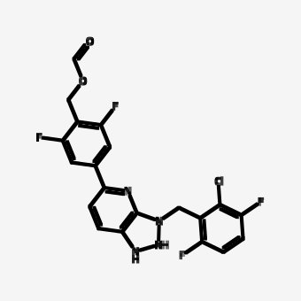 O=COCc1c(F)cc(-c2ccc3c(n2)N(Cc2c(F)ccc(F)c2Cl)NN3)cc1F